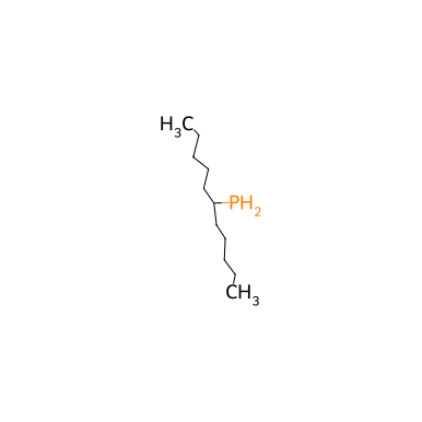 CCCCCC(P)CCCCC